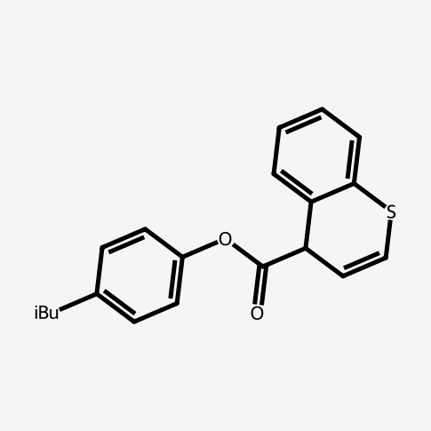 CCC(C)c1ccc(OC(=O)C2C=CSc3ccccc32)cc1